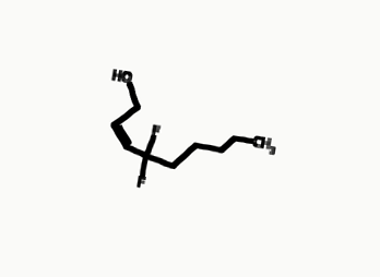 CCCCCC(F)(F)/C=C\CO